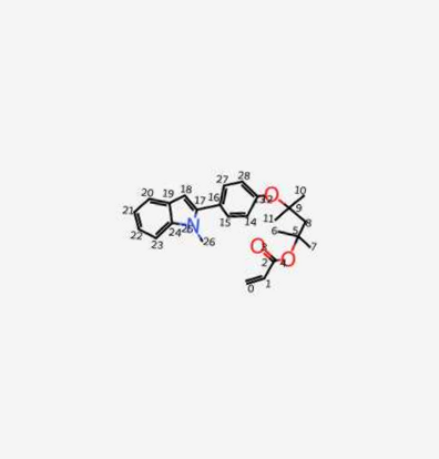 C=CC(=O)OC(C)(C)CC(C)(C)Oc1ccc(-c2cc3ccccc3n2C)cc1